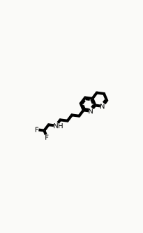 FC(F)CNCCCCc1ccc2c(n1)N=CCC2